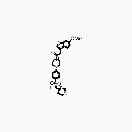 COc1ccc2c(CC(=O)N3CCN(c4ccc(S(=O)(=O)Nc5ccncn5)cc4)CC3)coc2c1